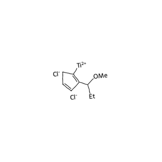 CCC(OC)C1=[C]([Ti+2])CC=C1.[Cl-].[Cl-]